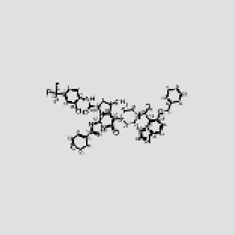 C[C@@H]1C[C@H](C(=O)Nc2ccc(C(F)(F)F)cc2Cl)n2c1c(N1CCN(C(=O)c3c(OCc4ccccc4)ccc4nccn34)CC1)c(=O)n1nc(C3=CCOCC3)nc21